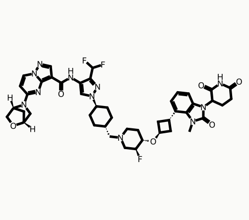 Cn1c(=O)n(C2CCC(=O)NC2=O)c2cccc([C@H]3C[C@H](O[C@H]4CCN(C[C@H]5CC[C@H](n6cc(NC(=O)c7cnn8ccc(N9C[C@H]%10C[C@@H]9CO%10)nc78)c(C(F)F)n6)CC5)C[C@@H]4F)C3)c21